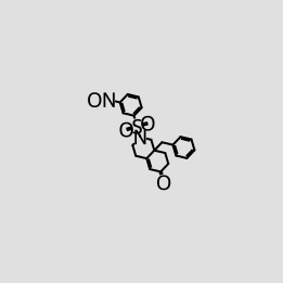 O=Nc1cccc(S(=O)(=O)N2CCC3=CC(=O)CCC3(Cc3ccccc3)C2)c1